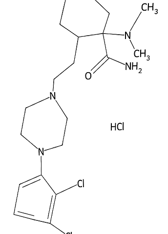 CN(C)C1(C(N)=O)CCCCC1CCN1CCN(c2cccc(Cl)c2Cl)CC1.Cl